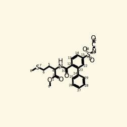 COC(=O)C(CCSC)NC(=O)c1ccc(S(=O)(=O)N=C=O)cc1-c1ccccc1